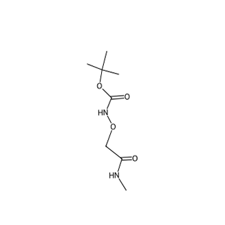 CNC(=O)CONC(=O)OC(C)(C)C